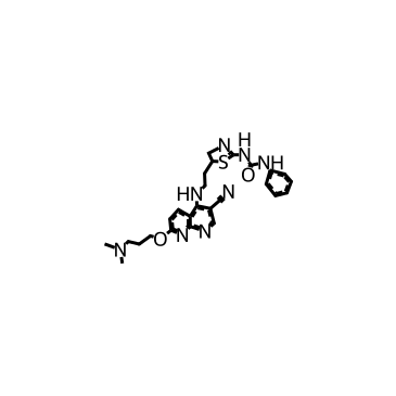 CN(C)CCCOc1ccc2c(NCCC3CN=C(NC(=O)Nc4ccccc4)S3)c(C#N)cnc2n1